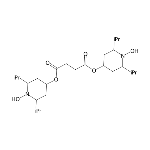 CC(C)C1CC(OC(=O)CCC(=O)OC2CC(C(C)C)N(O)C(C(C)C)C2)CC(C(C)C)N1O